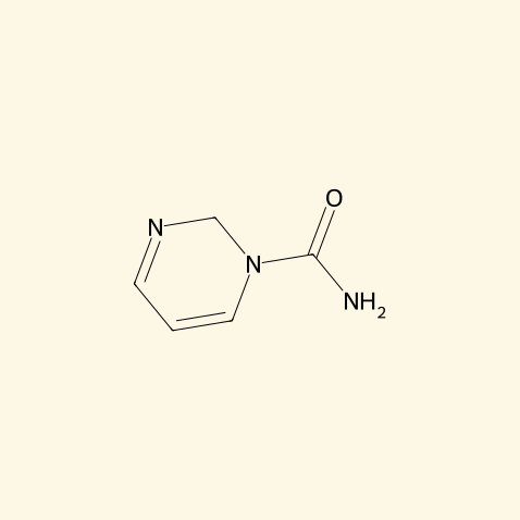 NC(=O)N1C=CC=NC1